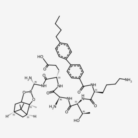 CCCCc1ccc(-c2ccc(C(=O)N[C@@H](CCCCN)C(=O)N[C@H](C(=O)N[C@@H](N)C(=O)N[C@@H](CCC(=O)O)C(=O)N[C@@H](N)B3OC4C[C@@H]5C[C@@H](C5(C)C)[C@]4(C)O3)[C@@H](C)O)cc2)cc1